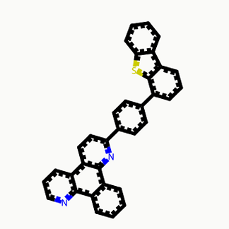 c1ccc2c(c1)sc1c(-c3ccc(-c4ccc5c6cccnc6c6ccccc6c5n4)cc3)cccc12